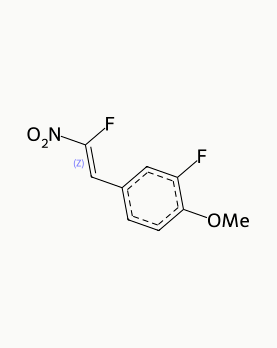 COc1ccc(/C=C(\F)[N+](=O)[O-])cc1F